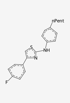 CCCCCc1ccc(Nc2nc(-c3ccc(F)cc3)cs2)cc1